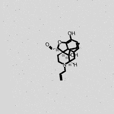 C=CCN1CC[C@@]23C4C(=C(O)C=CC4C[C@@H]1[C@]2(O)CCC)O[C@H]3C=O